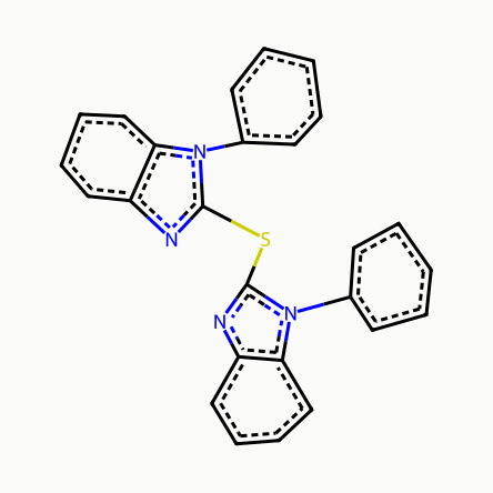 c1ccc(-n2c(Sc3nc4ccccc4n3-c3ccccc3)nc3ccccc32)cc1